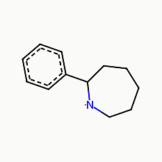 c1ccc(C2CCCCC[N]2)cc1